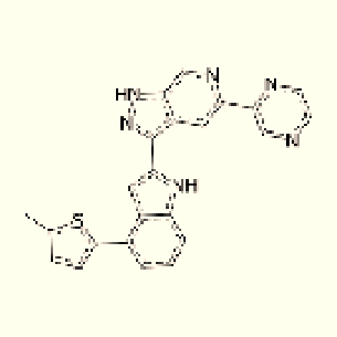 Cc1ccc(-c2cccc3[nH]c(-c4n[nH]c5cnc(-c6cnccn6)cc45)cc23)s1